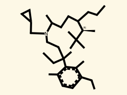 CCCC(CCC(C)N(CCC(C)(CC)c1c(C)ccc(CC)c1C)CC1CC1)[C@@H](C)C(C)(C)C